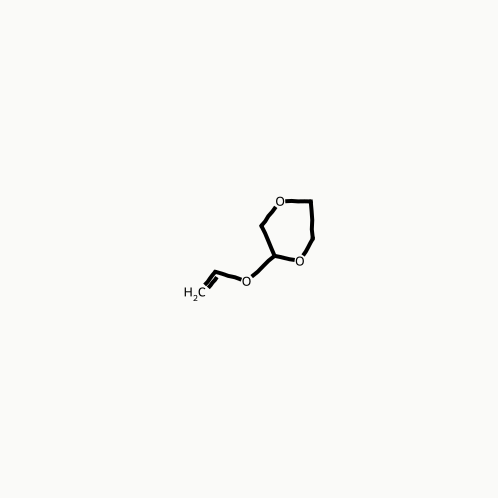 C=COC1COCCO1